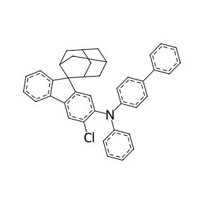 Clc1cc2c(cc1N(c1ccccc1)c1ccc(-c3ccccc3)cc1)C1(c3ccccc3-2)C2CC3CC(C2)CC1C3